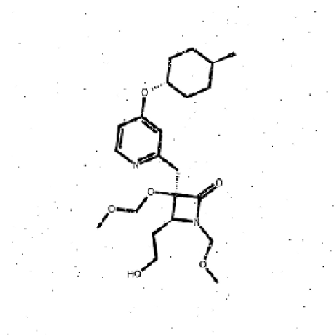 COCO[C@@]1(Cc2cc(O[C@H]3CC[C@H](C)CC3)ccn2)C(=O)N(COC)[C@H]1CCO